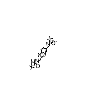 CC(C)(C)OC(=O)NCc1cn2cc(/C=N/[S+]([O-])C(C)(C)C)ccc2n1